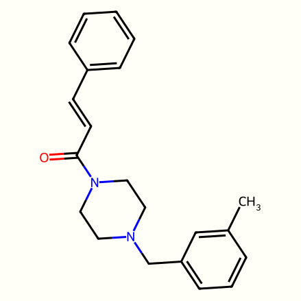 Cc1cccc(CN2CCN(C(=O)C=Cc3ccccc3)CC2)c1